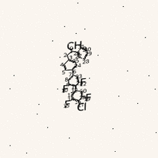 C[C@@H](Cc1ccc(-c2cc(F)c(-c3cc(F)c(Cl)c(F)c3)c(F)c2)cc1)c1ccccc1